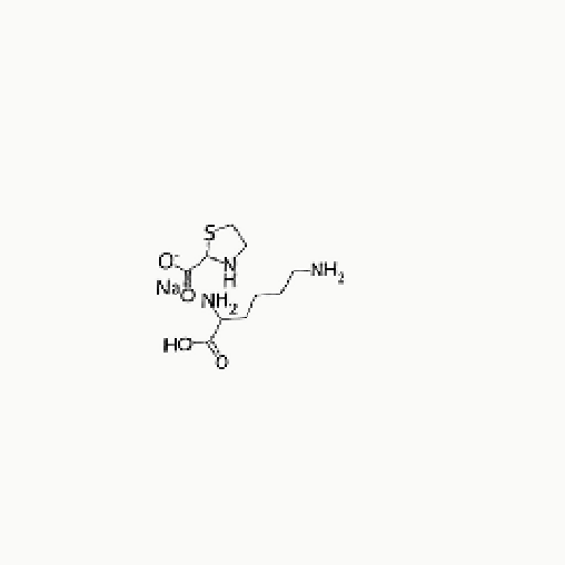 NCCCCC(N)C(=O)O.O=C([O-])C1NCCS1.[Na+]